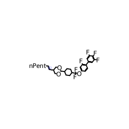 CCCCC/C=C/C1COC(C2CCC(C(F)(F)Oc3ccc(-c4cc(F)c(F)c(F)c4)c(F)c3)CC2)OC1